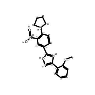 COc1ccccc1-c1noc(-c2ccc(N3CCCC3)c([N+](=O)[O-])c2)n1